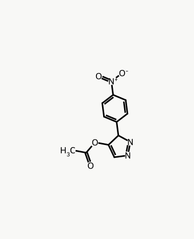 CC(=O)OC1=CN=NC1c1ccc([N+](=O)[O-])cc1